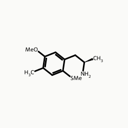 COc1cc(C[C@@H](C)N)c(SC)cc1C